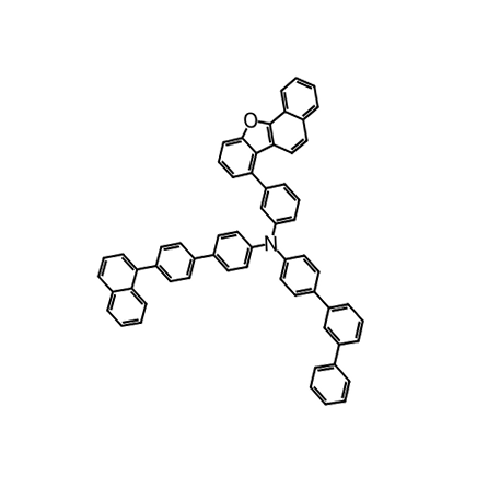 c1ccc(-c2cccc(-c3ccc(N(c4ccc(-c5ccc(-c6cccc7ccccc67)cc5)cc4)c4cccc(-c5cccc6oc7c8ccccc8ccc7c56)c4)cc3)c2)cc1